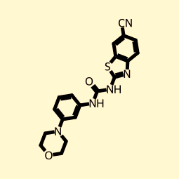 N#Cc1ccc2nc(NC(=O)Nc3cccc(N4CCOCC4)c3)sc2c1